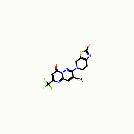 Cc1cc2nc(C(F)(F)F)cc(=O)n2nc1N1CCc2nc(Br)sc2C1